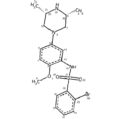 COc1ccc(N2C[C@@H](C)N[C@@H](C)C2)cc1NS(=O)(=O)c1ccccc1Br